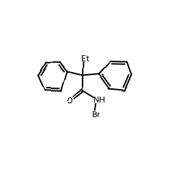 CCC(C(=O)NBr)(c1ccccc1)c1ccccc1